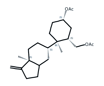 C=C1CCC2C[C@@H]([C@@]3(C)CC[C@H](OC(C)=O)C[C@@H]3COC(C)=O)CC[C@]12C